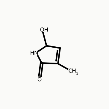 CC1=CC(O)NC1=O